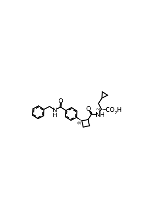 O=C(NCc1ccccc1)c1ccc([C@@H]2CCC2C(=O)N[C@@H](CC2CC2)C(=O)O)cc1